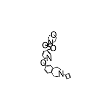 O=S(=O)(c1ccc(Oc2ccc3c(c2)CCN(C2=CC=C2)CC3)nc1)N1CCOCC1